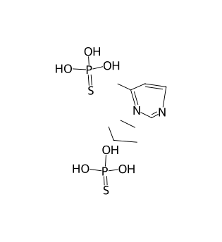 CC.CCC.Cc1ccncn1.OP(O)(O)=S.OP(O)(O)=S